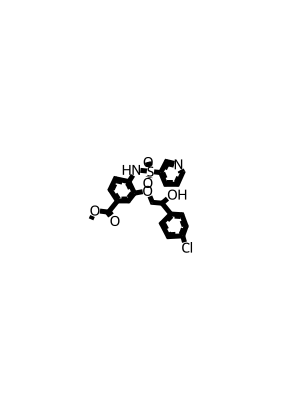 COC(=O)c1ccc(NS(=O)(=O)c2cccnc2)c(OCC(O)c2ccc(Cl)cc2)c1